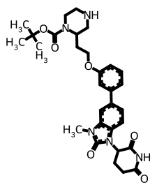 Cn1c(=O)n(C2CCC(=O)NC2=O)c2ccc(-c3cccc(OCCC4CNCCN4C(=O)OC(C)(C)C)c3)cc21